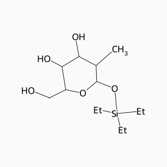 CC[Si](CC)(CC)OC1OC(CO)C(O)C(O)C1C